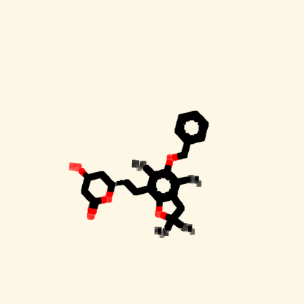 Cc1c(CC[C@H]2C[C@H](O)CC(=O)O2)c2c(c(C)c1OCc1ccccc1)CC(C)(C)O2